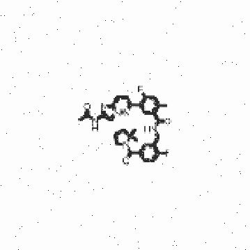 CC(=O)Nc1cn2nc(-c3cc(C(=O)NCc4cc(C(=O)N5CCCC5(C)C)ccc4F)c(C)cc3F)ccc2n1